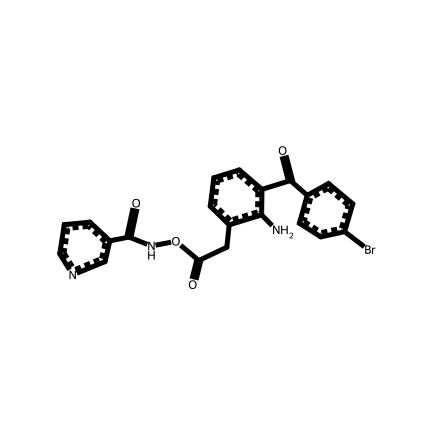 Nc1c(CC(=O)ONC(=O)c2cccnc2)cccc1C(=O)c1ccc(Br)cc1